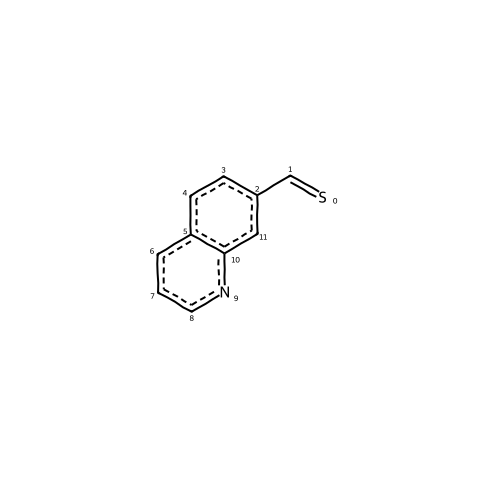 S=Cc1ccc2cccnc2c1